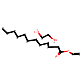 C=COC(=O)CCCCCCCCCCC.OCCO